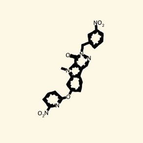 Cn1c2cc(Oc3cccc([N+](=O)[O-])n3)ccc2c2cnn(Cc3cccc([N+](=O)[O-])c3)c(=O)c21